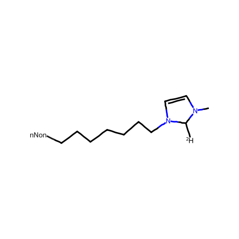 [2H]C1N(C)C=CN1CCCCCCCCCCCCCCCC